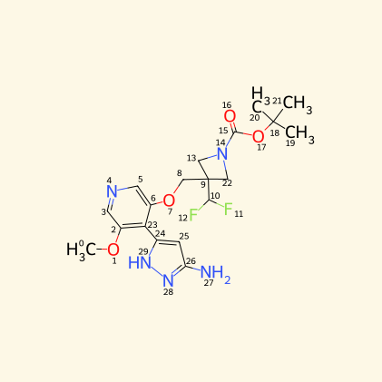 COc1cncc(OCC2(C(F)F)CN(C(=O)OC(C)(C)C)C2)c1-c1cc(N)n[nH]1